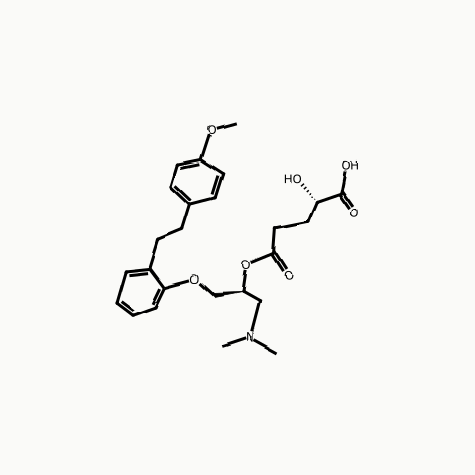 COc1ccc(CCc2ccccc2OC[C@H](CN(C)C)OC(=O)CC[C@H](O)C(=O)O)cc1